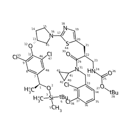 C[C@H](O[Si](C)(C)C(C)(C)C)c1cc(Cl)c(O[C@@H]2CCN(c3ncc(C[C@@H](CNC(=O)OC(C)(C)C)C(=O)N(Cc4cccc(Cl)c4Cl)C4CC4)s3)C2)c(Cl)c1